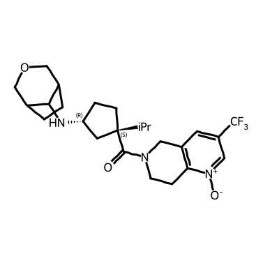 CC(C)[C@]1(C(=O)N2CCc3c(cc(C(F)(F)F)c[n+]3[O-])C2)CC[C@@H](NC2C3CCC2COC3)C1